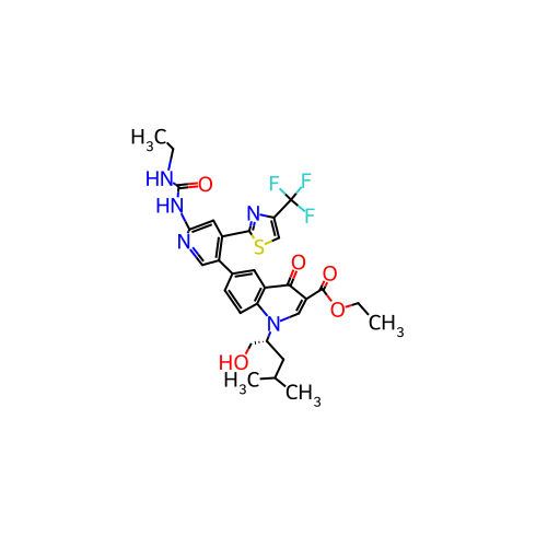 CCNC(=O)Nc1cc(-c2nc(C(F)(F)F)cs2)c(-c2ccc3c(c2)c(=O)c(C(=O)OCC)cn3[C@@H](CO)CC(C)C)cn1